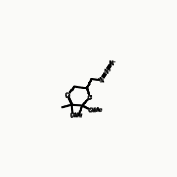 COC1(C)OCC(CN=[N+]=[N-])OC1(C)OC